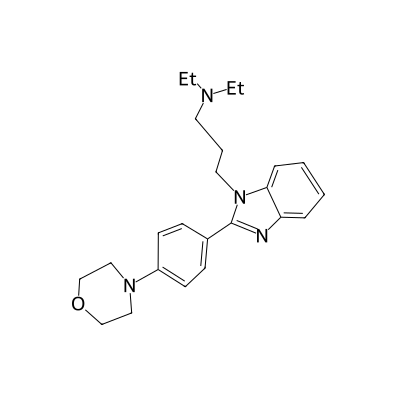 CCN(CC)CCCn1c(-c2ccc(N3CCOCC3)cc2)nc2ccccc21